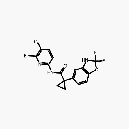 O=C(Nc1ccc(Cl)c(Br)n1)C1(c2ccc3c(c2)NC(F)(F)O3)CC1